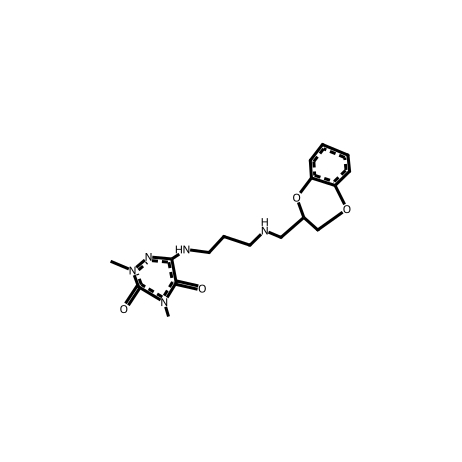 Cn1nc(NCCCNCC2COc3ccccc3O2)c(=O)n(C)c1=O